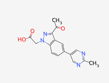 CC(=O)c1nn(CC(=O)O)c2ccc(-c3cnc(C)nc3)cc12